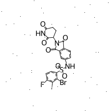 Cc1c(F)ccc(S(=O)(=O)Nc2ccc3c(c2)C(=O)N(C2CCC(=O)NC2=O)C3=O)c1Br